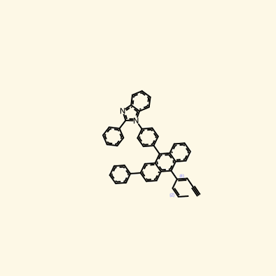 C#C/C=C(\C=C/C)c1c2ccccc2c(-c2ccc(-n3c(-c4ccccc4)nc4ccccc43)cc2)c2cc(-c3ccccc3)ccc12